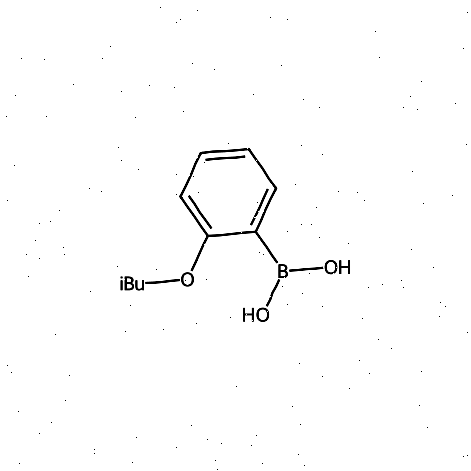 CCC(C)Oc1ccccc1B(O)O